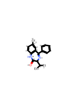 CCC(CC)C1N=C(c2ccccc2)c2cc(C(F)(F)F)ccc2NC1=O